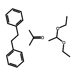 CC(C)=O.CCOC(C)OCC.c1ccc(CCc2ccccc2)cc1